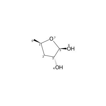 C[C@@H]1C[C@@H](O)[C@H](O)O1